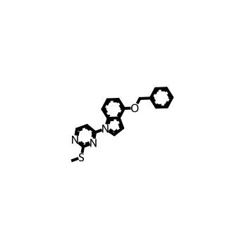 CSc1nccc(-n2ccc3c(OCc4ccccc4)cccc32)n1